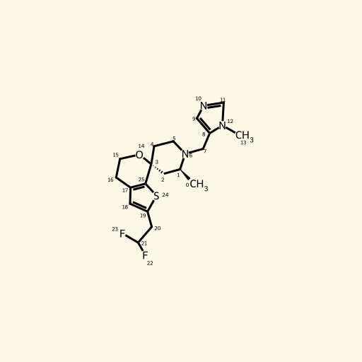 C[C@H]1C[C@@]2(CCN1Cc1cncn1C)OCCc1cc(CC(F)F)sc12